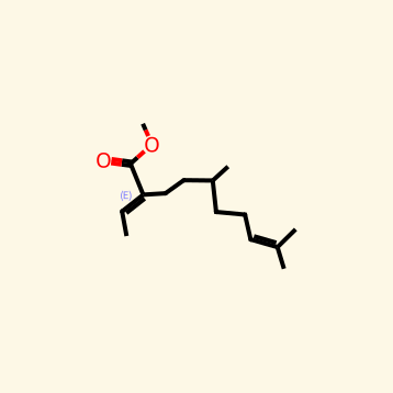 C/C=C(\CCC(C)CCC=C(C)C)C(=O)OC